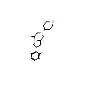 O=C1CN(C2CCNCC2)C[C@@H]2C[C@H](c3c(O)ccc(Cl)c3Cl)CN12